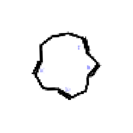 [CH]1/C=C/C/C=C/C=C/CCC/C=C/1